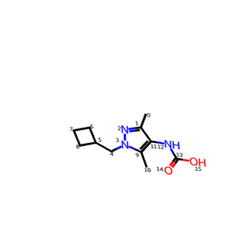 Cc1nn(CC2CCC2)c(C)c1NC(=O)O